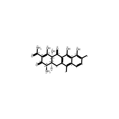 Cc1ccc2c(C)c3c(c(O)c2c1O)C(=O)[C@]1(O)C(O)=C(C(N)=O)C(=O)[C@H](N)[C@@H]1C3